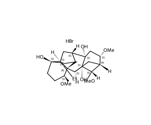 Br.CCN1C[C@]2(O)CC[C@H](OC)[C@]34C1[C@H](C[C@H]23)[C@@]1(O)C[C@H](OC)[C@H]2C[C@@H]4[C@]1(O)[C@H]2OC